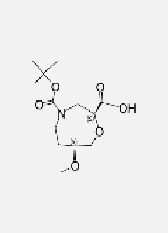 CO[C@H]1CCN(C(=O)OC(C)(C)C)C[C@@H](C(=O)O)OC1